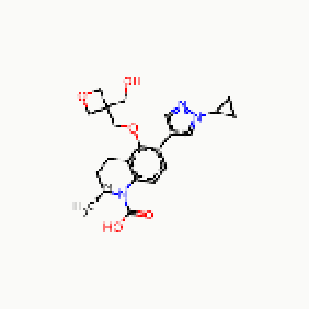 C[C@H]1CCc2c(ccc(-c3cnn(C4CC4)c3)c2OCC2(CO)COC2)N1C(=O)O